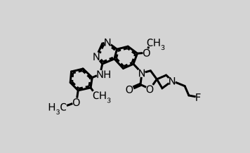 COc1cc2ncnc(Nc3cccc(OC)c3C)c2cc1N1CC2(CN(CCF)C2)OC1=O